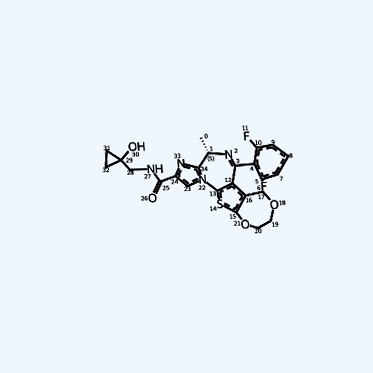 C[C@@H]1N=C(c2c(F)cccc2F)c2c(sc3c2COCCO3)-n2cc(C(=O)NCC3(O)CC3)nc21